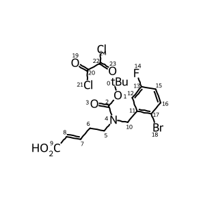 CC(C)(C)OC(=O)N(CCC=CC(=O)O)Cc1cc(F)ccc1Br.O=C(Cl)C(=O)Cl